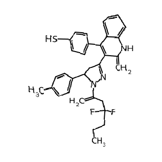 C=C1Nc2ccccc2C(c2ccc(S)cc2)=C1C1=NN(C(=C)CC(F)(F)CCC)C(c2ccc(C)cc2)C1